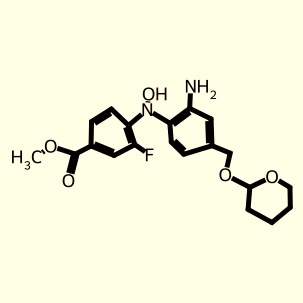 COC(=O)c1ccc(N(O)c2ccc(COC3CCCCO3)cc2N)c(F)c1